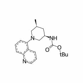 C[C@H]1C[C@@H](NC(=O)OC(C)(C)C)CN(c2cccc3ncccc23)C1